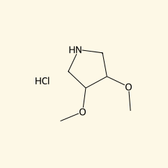 COC1CNCC1OC.Cl